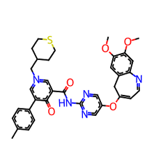 COc1cc2c(cc1OC)N=CC=C(Oc1cnc(NC(=O)c3cn(CC4CCSCC4)cc(-c4ccc(C)cc4)c3=O)nc1)C2